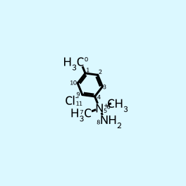 Cc1ccc([N+](C)(C)N)cc1.[Cl-]